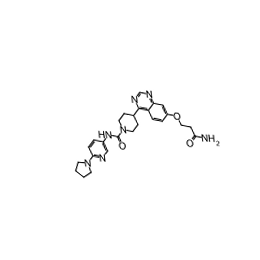 NC(=O)CCOc1ccc2c(C3CCN(C(=O)Nc4ccc(N5CCCC5)nc4)CC3)ncnc2c1